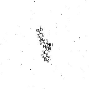 COC(=O)N1CCC(n2cc(C3=Nn4c(Cc5ccc6ncccc6c5)cnc4NC3C)cn2)CC1